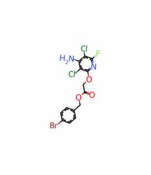 Nc1c(Cl)c(F)nc(OCC(=O)OCc2ccc(Br)cc2)c1Cl